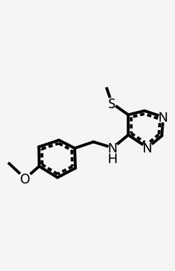 COc1ccc(CNc2ncncc2SC)cc1